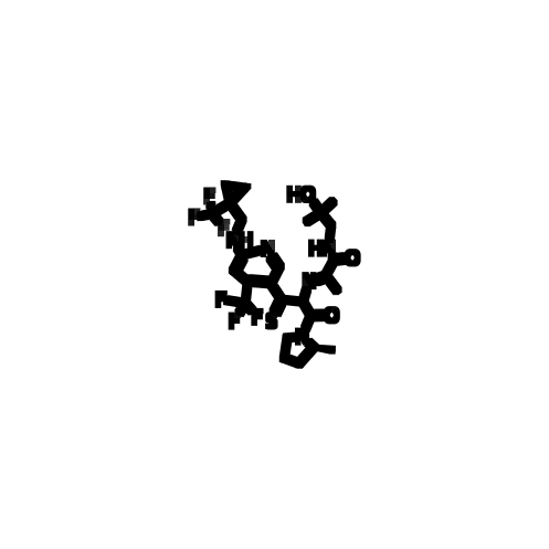 C/C(=N\C(C(=O)N1CCC[C@@H]1C)C(=S)c1cnc(NCC2(C(F)(F)F)CC2)cc1C(F)(F)F)C(=O)NCC(C)(C)O